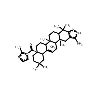 CC1(C)CC[C@]2(C(=O)n3ccnc3N)CC[C@]3(C)C(=CCC4[C@@]5(C)Cc6c(n[nH]c6N)C(C)(C)C5CC[C@]43C)C2C1